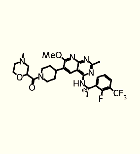 COc1nc2nc(C)nc(N[C@H](C)c3cccc(C(F)(F)F)c3F)c2cc1C1CCN(C(=O)C2CN(C)CCO2)CC1